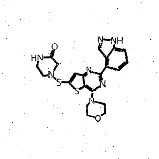 O=C1CN(Sc2cc3nc(-c4cccc5[nH]ncc45)nc(N4CCOCC4)c3s2)CCN1